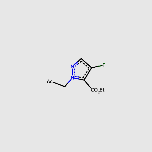 CCOC(=O)c1c(F)cnn1CC(C)=O